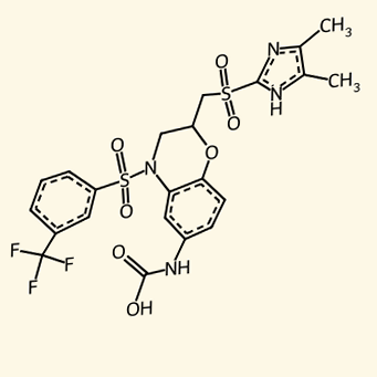 Cc1nc(S(=O)(=O)CC2CN(S(=O)(=O)c3cccc(C(F)(F)F)c3)c3cc(NC(=O)O)ccc3O2)[nH]c1C